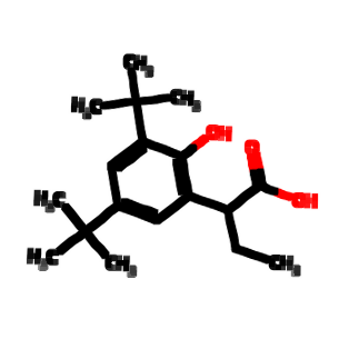 CCC(C(=O)O)c1cc(C(C)(C)C)cc(C(C)(C)C)c1O